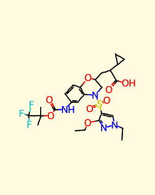 CCOc1nn(CC)cc1S(=O)(=O)N1CC(CC(C(=O)O)C2CC2)Oc2ccc(NC(=O)OC(C)(C)C(F)(F)F)cc21